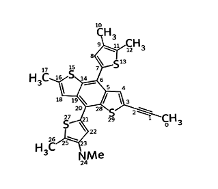 CC#Cc1cc2c(-c3cc(C)c(C)s3)c3sc(C)cc3c(-c3cc(NC)c(C)s3)c2s1